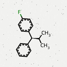 CC(C)[C@@H](c1ccccc1)c1ccc(F)cc1